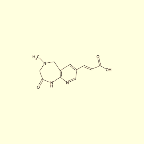 CN1CC(=O)Nc2ncc(C=CC(=O)O)cc2C1